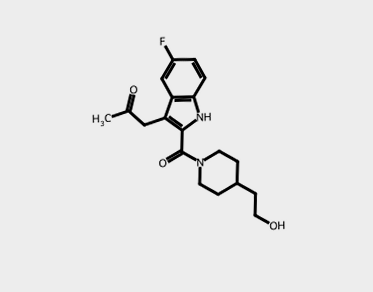 CC(=O)Cc1c(C(=O)N2CCC(CCO)CC2)[nH]c2ccc(F)cc12